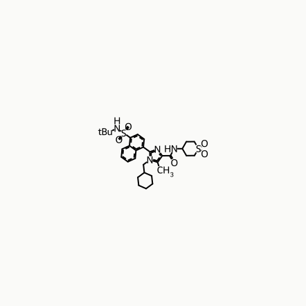 Cc1c(C(=O)NC2CCS(=O)(=O)CC2)nc(-c2ccc(S(=O)(=O)NC(C)(C)C)c3ccccc23)n1CC1CCCCC1